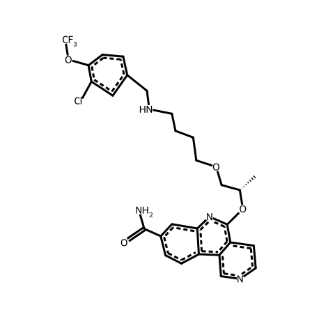 C[C@@H](COCCCCNCc1ccc(OC(F)(F)F)c(Cl)c1)Oc1nc2cc(C(N)=O)ccc2c2cnccc12